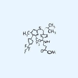 Cc1cc(S[C@H](CC(C)C)c2ccc(C(=O)NCCC(=O)O)s2)cc(C)c1-c1ccc(C(F)(F)F)cc1